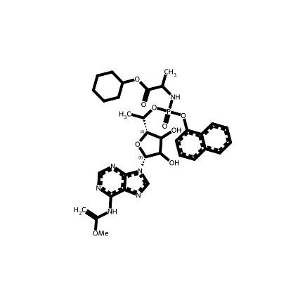 C=C(Nc1ncnc2c1ncn2[C@@H]1O[C@H](C(C)OP(=O)(NC(C)C(=O)OC2CCCCC2)Oc2cccc3ccccc23)C(O)C1O)OC